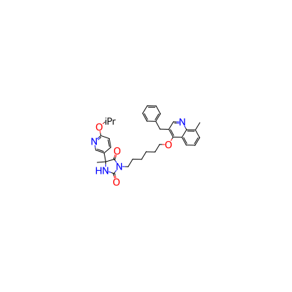 Cc1cccc2c(OCCCCCCN3C(=O)NC(C)(c4ccc(OC(C)C)nc4)C3=O)c(Cc3ccccc3)cnc12